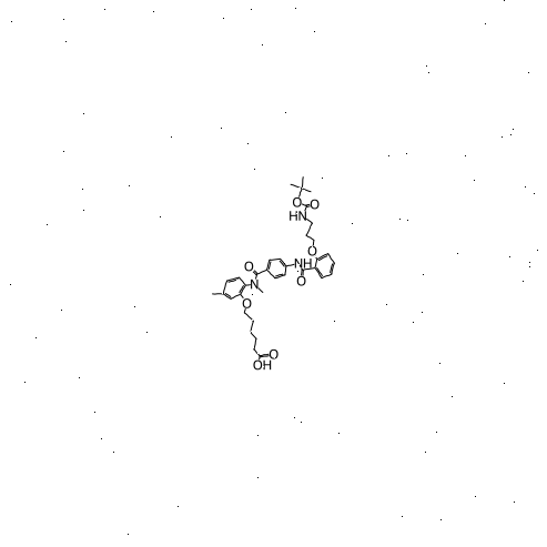 Cc1ccc(N(C)C(=O)c2ccc(NC(=O)c3ccccc3OCCCNC(=O)OC(C)(C)C)cc2)c(OCCCCCC(=O)O)c1